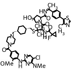 CNc1nc(Nc2ccc(C(=O)N3CCN(C[C@H]4CC[C@@H](CSC(C)(C)[C@H](NC(=O)C5(F)CC5)C(=O)N5C[C@H](O)CC5C(=O)N[C@@H](C)c5ccc(-c6scnc6C)cc5)CC4)CC3)cc2OC)ncc1Cl